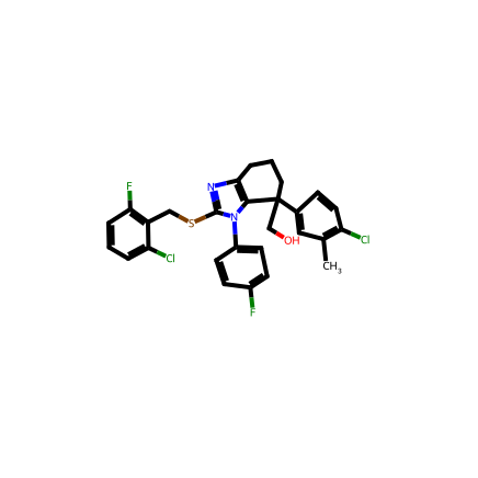 Cc1cc(C2(CO)CCCc3nc(SCc4c(F)cccc4Cl)n(-c4ccc(F)cc4)c32)ccc1Cl